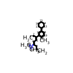 C=CC/C(=C\C=C(/C=C)c1cc(C2CCCCC2)ccc1C)N(C)C